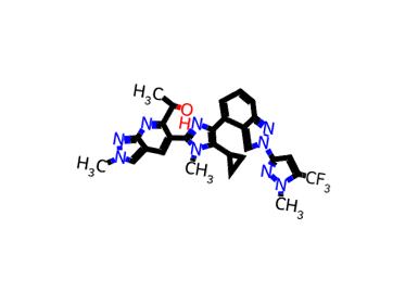 CC(O)c1nc2nn(C)cc2cc1-c1nc(-c2cccc3nn(-c4cc(C(F)(F)F)n(C)n4)cc23)c(C2CC2)n1C